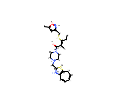 CC/C(SCc1cc(C)on1)=C(\C)C(=O)N1CCN(CC2NC3=C(CC=CC=C3)S2)CC1